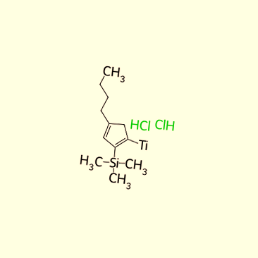 CCCCC1=CC([Si](C)(C)C)=[C]([Ti])C1.Cl.Cl